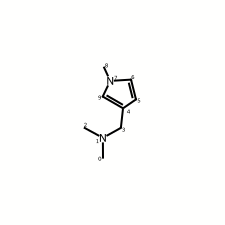 CN(C)Cc1ccn(C)c1